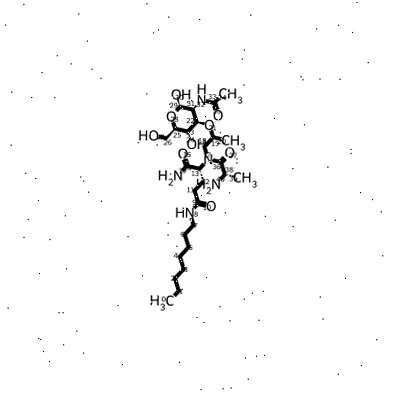 CCCCCCCCNC(=O)CC[C@H](C(N)=O)N(CC(C)O[C@H]1[C@H](O)[C@@H](CO)O[C@H](O)[C@@H]1NC(C)=O)C(=O)[C@H](C)N